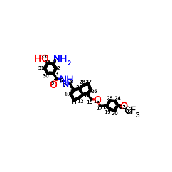 Nc1cc(C(=O)N/N=C/c2cccc3c(COCc4ccc(OC(F)(F)F)cc4)cccc23)ccc1O